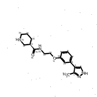 Cc1n[nH]cc1-c1c[c]cc(OCCNC(=O)[C@@H]2CCCNC2)c1